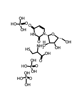 NC(CS)C(=O)O.O=P(O)(O)O.O=P(O)(O)O.O=P(O)(O)O.O=c1ccn([C@@H]2O[C@H](CO)[C@@H](O)[C@H]2O)c(=O)[nH]1